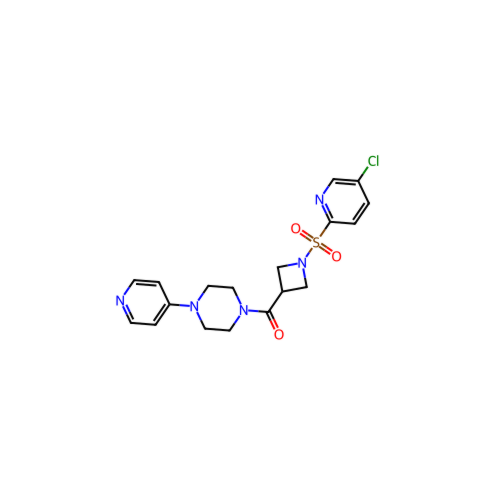 O=C(C1CN(S(=O)(=O)c2ccc(Cl)cn2)C1)N1CCN(c2ccncc2)CC1